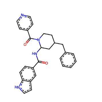 O=C(NC1CC(Cc2ccccc2)CCN1C(=O)c1ccncc1)c1ccc2[nH]ccc2c1